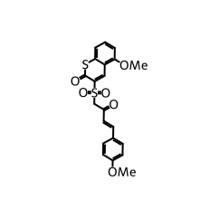 COc1ccc(C=CC(=O)CS(=O)(=O)c2cc3c(OC)cccc3sc2=O)cc1